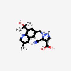 Cc1cnc2c(C(C)(C)O)cc(Cn3ncc(C(=O)O)c3C#N)cc2c1